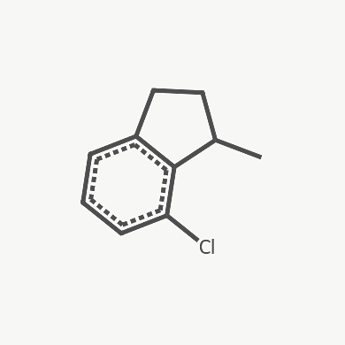 CC1CCc2cccc(Cl)c21